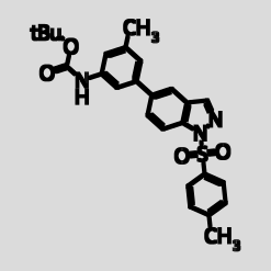 Cc1ccc(S(=O)(=O)n2ncc3cc(-c4cc(C)cc(NC(=O)OC(C)(C)C)c4)ccc32)cc1